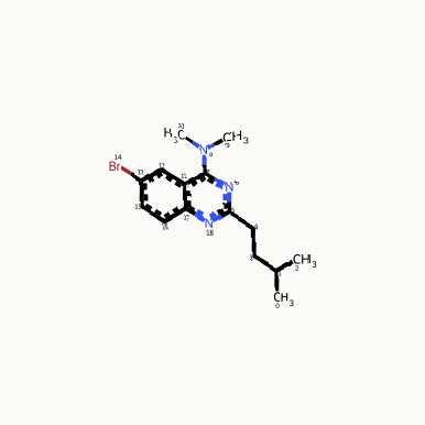 CC(C)CCc1nc(N(C)C)c2cc(Br)ccc2n1